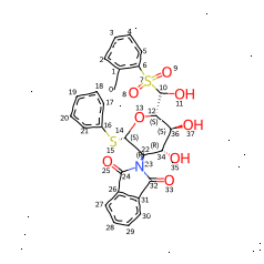 Cc1ccccc1S(=O)(=O)C(O)[C@H]1O[C@@H](Sc2ccccc2)[C@H](N2C(=O)c3ccccc3C2=O)[C@@H](O)[C@@H]1O